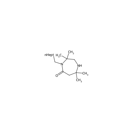 CCCCCCCCN1C(=O)CC(C)(C)NCC1(C)C